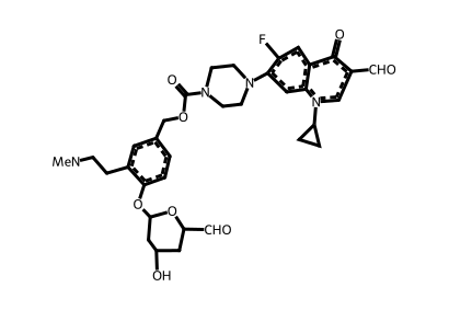 CNCCc1cc(COC(=O)N2CCN(c3cc4c(cc3F)c(=O)c(C=O)cn4C3CC3)CC2)ccc1OC1CC(O)CC(C=O)O1